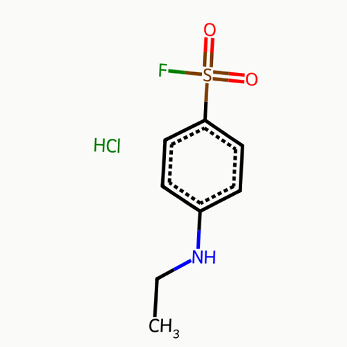 CCNc1ccc(S(=O)(=O)F)cc1.Cl